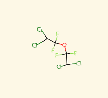 FC(F)(OC(F)(F)C(Cl)Cl)C(Cl)Cl